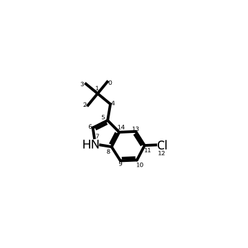 CC(C)(C)Cc1c[nH]c2ccc(Cl)cc12